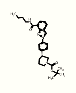 CCCCNC(=O)c1cccc2cn(-c3ccc([C@@H]4CCCN(C(=O)OC(C)(C)C)C4)cc3)nc12